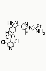 CCC1(N)CN(c2ncc(-c3n[nH]c4ccc(O[C@H](C)c5c(Cl)cncc5Cl)cc34)cc2F)C1